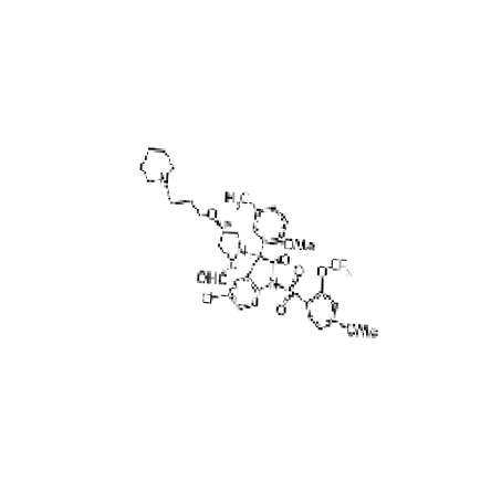 COc1ccc(S(=O)(=O)N2C(=O)C(c3cc(C)ccc3OC)(N3C[C@H](OCCCN4CCCCC4)C[C@H]3C=O)c3cc(Cl)ccc32)c(OC(F)(F)F)c1